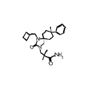 CC(C)(CN1C[C@]2(CC[C@@](C)(c3ccccc3)CC2)N(CC2CCC2)C1=O)C(N)=O